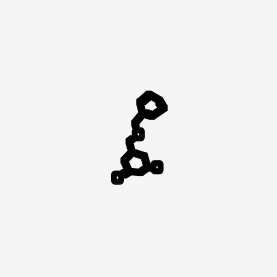 O=C1CC(=O)CC(COCc2ccccc2)C1